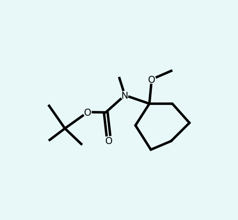 COC1(N(C)C(=O)OC(C)(C)C)CCCCC1